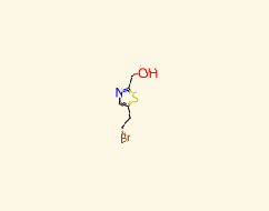 OCc1ncc(CCBr)s1